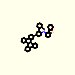 c1ccc2c(c1)CN(c1cccc3sc4ccccc4c13)c1ccc(-c3ccc4c5ccccc5c5c6ccccc6c6ccccc6c5c4c3)cc1-2